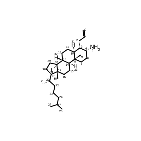 C=CC[C@@H]1[C@H](N)CC[C@@]2(C)[C@H]1CC[C@@H]1[C@@H]2CC[C@]2(C)[C@@H]([C@@H](C)CCCC(C)C)CC[C@@H]12